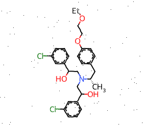 CCOCCOc1ccc(C[C@H](C)N(CC(O)c2cccc(Cl)c2)CC(O)c2cccc(Cl)c2)cc1